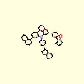 c1ccc(-c2ccc(-c3cccc4ccccc34)cc2N(c2ccc(-c3ccc4ccccc4c3)cc2)c2cccc(-c3ccc4oc5ccccc5c4c3)c2)cc1